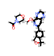 CC(=O)N1CCO[C@H](COc2nc(-c3ccc4c(c3)COC4(C)C)cc3nccnc23)C1